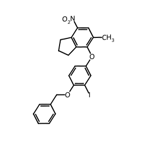 Cc1cc([N+](=O)[O-])c2c(c1Oc1ccc(OCc3ccccc3)c(I)c1)CCC2